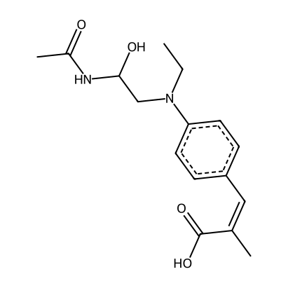 CCN(CC(O)NC(C)=O)c1ccc(C=C(C)C(=O)O)cc1